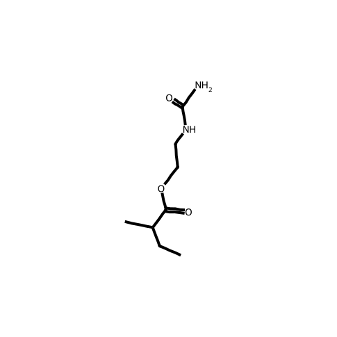 CCC(C)C(=O)OCCNC(N)=O